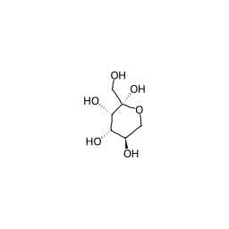 OC[C@@]1(O)OC[C@@H](O)[C@H](O)[C@@H]1O